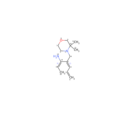 C=C/C=C(CN1CCOCC1(C)C)\C(N)=C/C